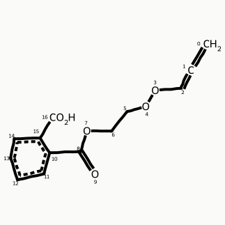 C=C=COOCCOC(=O)c1ccccc1C(=O)O